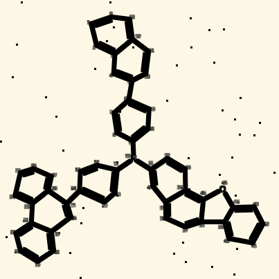 c1ccc2cc(-c3ccc(N(c4ccc(-c5cc6ccccc6c6ccccc56)cc4)c4ccc5c(ccc6c7ccccc7oc56)c4)cc3)ccc2c1